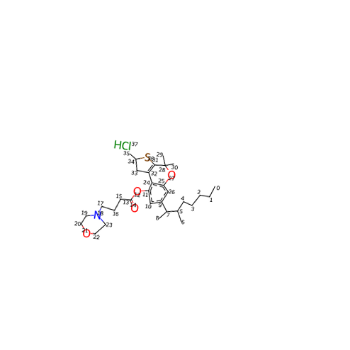 CCCCCC(C)C(C)c1cc(OC(=O)CCCN2CCOCC2)c2c(c1)OC(C)(C)C1=C2CC(C)S1.Cl